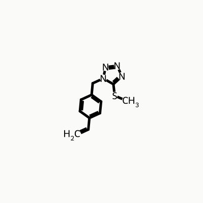 C=Cc1ccc(Cn2nnnc2SC)cc1